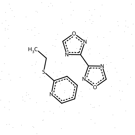 CCSc1ccccn1.c1nc(-c2ncon2)no1